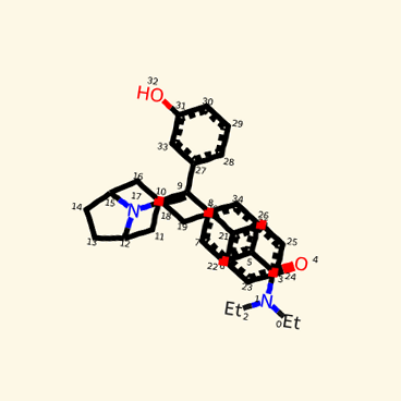 CCN(CC)C(=O)c1ccc(C(=C2CC3CCC(C2)N3CCCc2ccccc2)c2cccc(O)c2)cc1